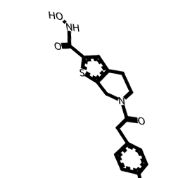 Cc1ccc(CC(=O)N2CCc3cc(C(=O)NO)sc3C2)cc1